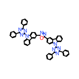 c1ccc(-c2nc(-c3ccccc3)nc(-n3c4ccccc4c4cc(-c5nnc(-c6ccc7c(c6)c6ccccc6n7-c6nc(-c7ccccc7)nc(-c7ccccc7)n6)o5)ccc43)n2)cc1